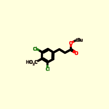 CC(C)(C)OC(=O)CCc1cc(Cl)c(C(=O)O)c(Cl)c1